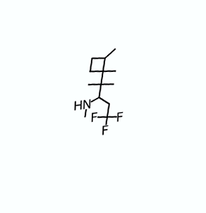 CNC(CC(F)(F)F)C(C)(C)C1(C)CCC1C